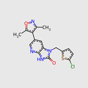 Cc1noc(C)c1-c1cnc2[nH]c(=O)n(Cc3ccc(Cl)s3)c2c1